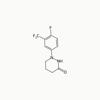 O=C1CCCN(c2ccc(F)c(C(F)(F)F)c2)N1